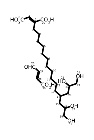 O=C(O)/C=C(\CCCCCCCCCCCC(CC(O)CO)CC(O)CO)C(=O)O.O=CC=CC(=O)O